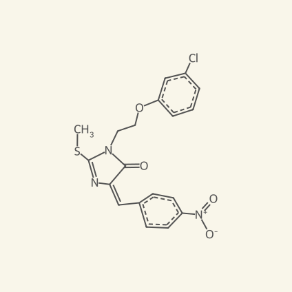 CSC1=NC(=Cc2ccc([N+](=O)[O-])cc2)C(=O)N1CCOc1cccc(Cl)c1